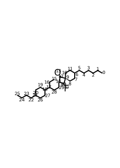 CCCCCCC1CC[C@]2(CC1)C(=O)[C@@]1(CCC(C3CCC(CCCC)CC3)CC1)[C@@H]2F